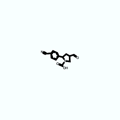 N#Cc1ccc(C2CC(C=O)CN2C(=O)O)cc1